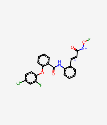 O=C(/C=C/c1ccccc1NC(=O)c1ccccc1Oc1ccc(Cl)cc1F)NOF